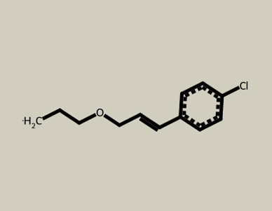 [CH2]CCOCC=Cc1ccc(Cl)cc1